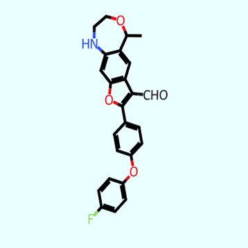 CC1OCCNc2cc3oc(-c4ccc(Oc5ccc(F)cc5)cc4)c(C=O)c3cc21